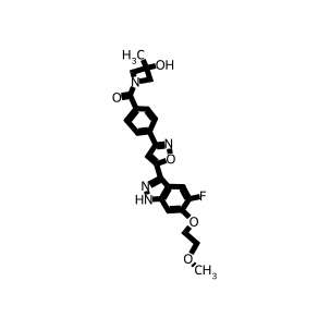 COCCOc1cc2[nH]nc(-c3cc(-c4ccc(C(=O)N5CC(C)(O)C5)cc4)no3)c2cc1F